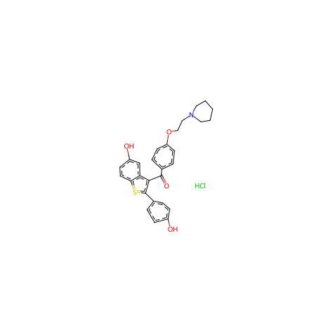 Cl.O=C(c1ccc(OCCN2CCCCC2)cc1)c1c(-c2ccc(O)cc2)sc2ccc(O)cc12